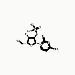 Nc1ccn([C@@H]2O[C@H](CO)[C@@H](F)[C@H]2OP(=O)(O)O)c(=O)n1